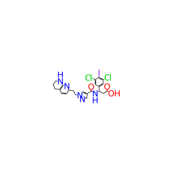 O=C(O)CC(NC(=O)c1cnn(CCc2ccc3c(n2)NCCC3)c1)c1cc(Cl)c(I)c(Cl)c1